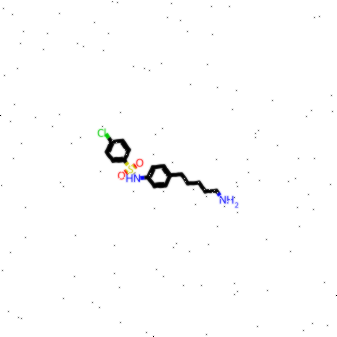 NCCCCCc1ccc(NS(=O)(=O)c2ccc(Cl)cc2)cc1